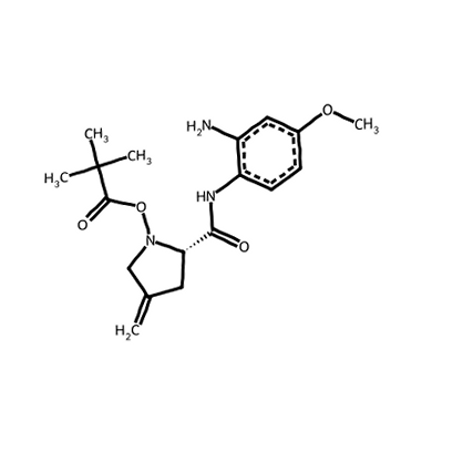 C=C1C[C@@H](C(=O)Nc2ccc(OC)cc2N)N(OC(=O)C(C)(C)C)C1